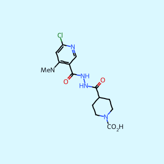 CNc1cc(Cl)ncc1C(=O)NNC(=O)C1CCN(C(=O)O)CC1